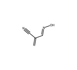 C=C(C#N)C=NO